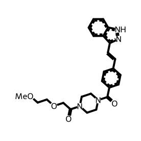 COCCOCC(=O)N1CCN(C(=O)c2ccc(C=Cc3n[nH]c4ccccc34)cc2)CC1